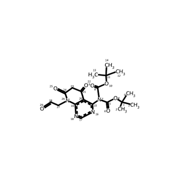 CC(C)(C)OC(=O)N(C(=O)OC(C)(C)C)c1ncnc2c1C(=O)CC(=O)N2CC=O